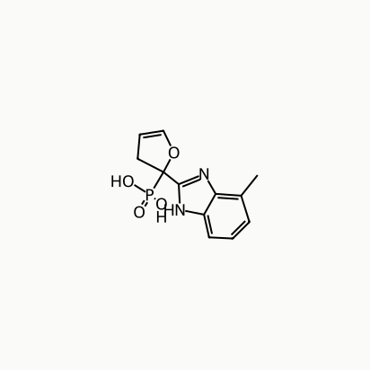 Cc1cccc2[nH]c(C3(P(=O)(O)O)CC=CO3)nc12